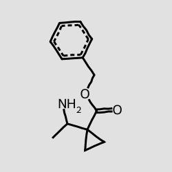 CC(N)C1(C(=O)OCc2ccccc2)CC1